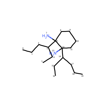 CCCC(CC)C1(N)CCCCC1(N)C(CC)CCC